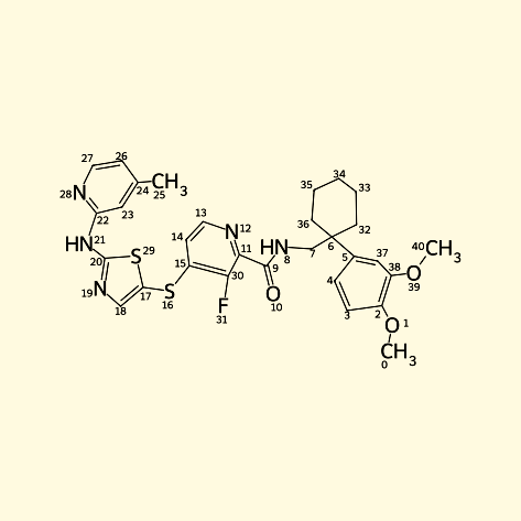 COc1ccc(C2(CNC(=O)c3nccc(Sc4cnc(Nc5cc(C)ccn5)s4)c3F)CCCCC2)cc1OC